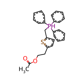 CC(=O)OCCc1ccc(C[PH](c2ccccc2)(c2ccccc2)c2ccccc2)s1